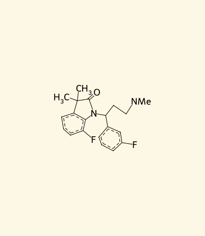 CNCCC(c1cccc(F)c1)N1C(=O)C(C)(C)c2cccc(F)c21